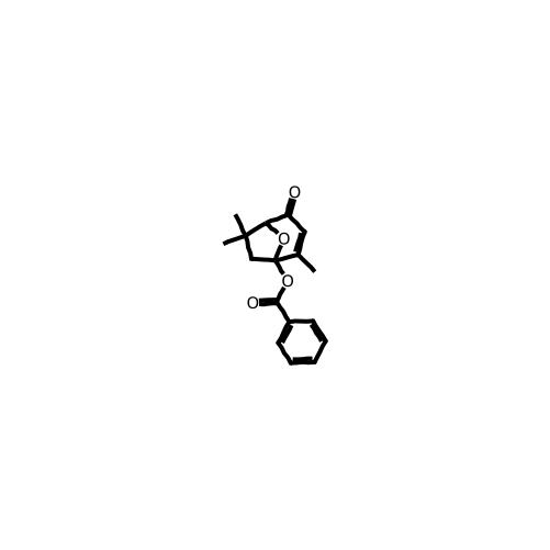 CC1=CC(=O)C2OC1(OC(=O)c1ccccc1)CC2(C)C